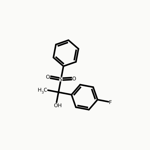 CC(O)(c1ccc(F)cc1)S(=O)(=O)c1ccccc1